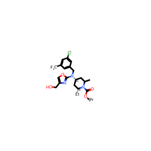 CC[C@@H]1C[C@H](N(Cc2cc(Cl)cc(C(F)(F)F)c2)c2nc(CO)co2)CC(C)N1C(=O)OC(C)C